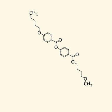 CCCCCOc1ccc(C(=O)Oc2ccc(C(=O)OCCCCOC)cc2)cc1